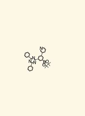 CC1(C)OB(c2cc(-c3cccnc3)cc(-c3nc(-c4ccccc4)nc(-c4ccccc4)n3)c2)OC1(C)C